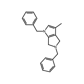 Cc1cn(Cc2ccccc2)c2c1CN(Cc1ccccc1)C2